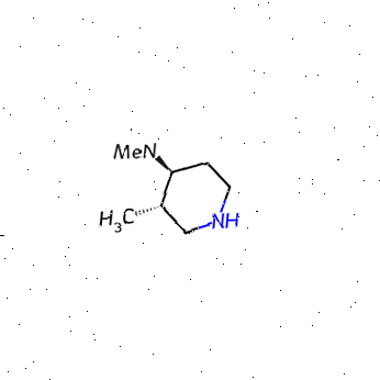 CN[C@H]1CCNC[C@@H]1C